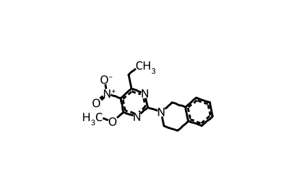 CCc1nc(N2CCc3ccccc3C2)nc(OC)c1[N+](=O)[O-]